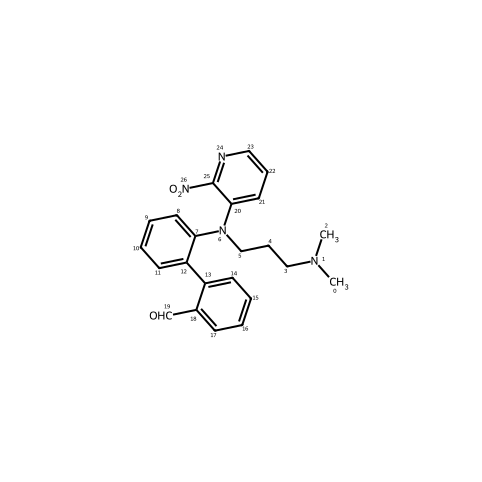 CN(C)CCCN(c1ccccc1-c1ccccc1C=O)c1cccnc1[N+](=O)[O-]